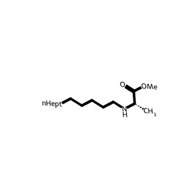 CCCCCCCCCCCCN[C@@H](C)C(=O)OC